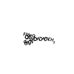 COc1cc(N2CCC(N3CCN(C)CC3)CC2)ccc1Nc1cc(N2OCC[C@@H]2c2cc(F)cc(F)c2)ncn1